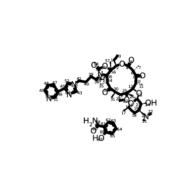 CC[C@H]1OC(=O)[C@H](C)C(=O)[C@H](C)[C@@H](O[C@@H]2O[C@H](C)C[C@H](N(C)C)[C@H]2O)[C@](C)(OC)C[C@@H](C)C(=O)[C@H](C)[C@H]2N(CCCCn3cnc(-c4cccnc4)c3)C(=O)O[C@]12C.NC(=O)c1ccccc1O